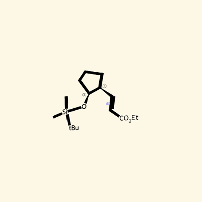 CCOC(=O)/C=C/[C@@H]1CCC[C@@H]1O[Si](C)(C)C(C)(C)C